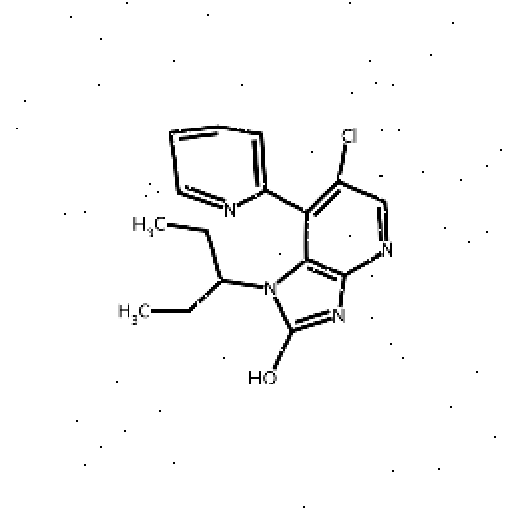 CCC(CC)n1c(O)nc2ncc(Cl)c(-c3ccccn3)c21